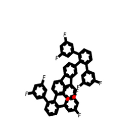 Fc1cc(F)cc(-c2cccc(-c3cc(F)cc(F)c3)c2-c2ccc3c(c2)-c2cccc4c(-c5c(-c6cc(F)cc(F)c6)cccc5-c5cc(F)cc(F)c5)ccc-3c24)c1